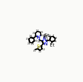 CCc1cccc(CC)c1-c1nc(-c2ccc(C)s2)c(CN2CCCCC2c2ccccc2)n1CC